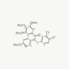 COc1ccc(N(Cc2ccc(Cl)c(Cl)c2)C(=O)c2cc(OC)c(OC)c(OC)c2)cn1